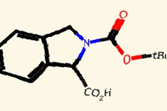 CC(C)(C)OC(=O)N1Cc2ccccc2C1C(=O)O